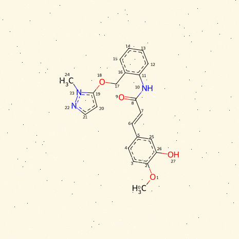 COc1ccc(C=CC(=O)Nc2ccccc2COc2ccnn2C)cc1O